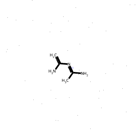 C=C(N)/N=C(\C)N